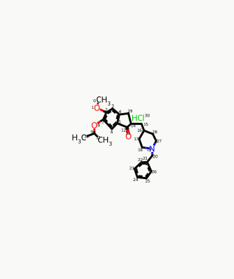 COc1cc2c(cc1OC(C)C)C(=O)C(CC1CCN(Cc3ccccc3)CC1)C2.Cl